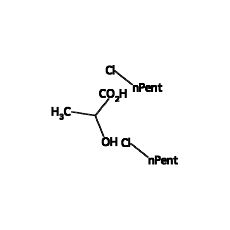 CC(O)C(=O)O.CCCCCCl.CCCCCCl